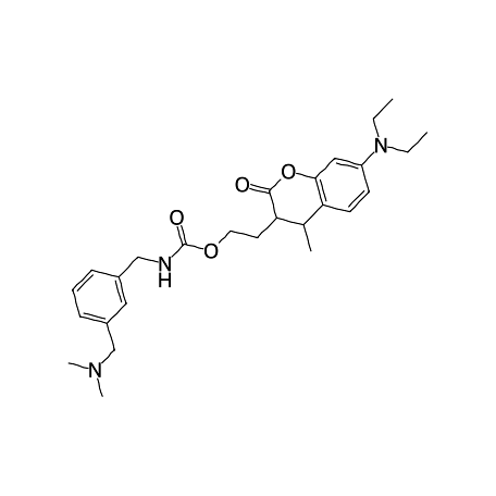 CCN(CC)c1ccc2c(c1)OC(=O)C(CCOC(=O)NCc1cccc(CN(C)C)c1)C2C